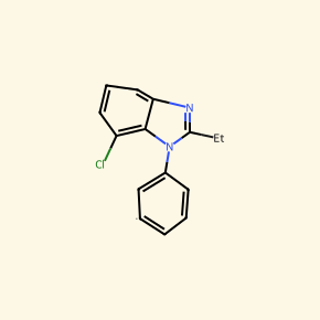 CCc1nc2cccc(Cl)c2n1-c1c[c]ccc1